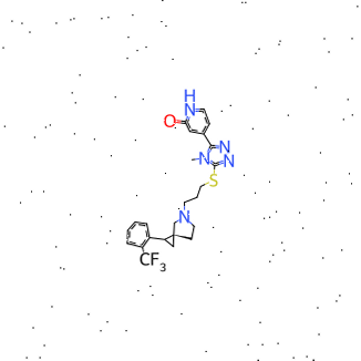 Cn1c(SCCCN2CC[C@]3(CC3c3ccccc3C(F)(F)F)C2)nnc1-c1cc[nH]c(=O)c1